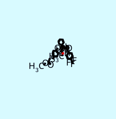 CCCCN1C2OC1(c1ccc(C(F)(F)F)cc1)NN2C1(COc2ccc(SCC(=O)OCC)cc2C)C=CC=CC1